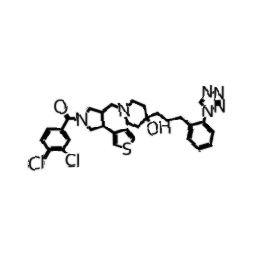 O=C(c1ccc(Cl)c(Cl)c1)N1CC(CN2CCC(O)(CCCc3ccccc3-n3cnnn3)CC2)C(c2ccsc2)C1